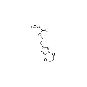 CCCCCCCCC(=O)OCCn1cc2c(c1)OCCO2